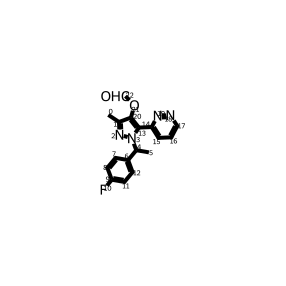 Cc1nn(C(C)c2ccc(F)cc2)c(-c2cccnn2)c1OC=O